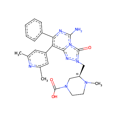 Cc1cc(-c2c(-c3ccccc3)nc(N)n3c(=O)n(C[C@@H]4CN(C(=O)O)CCN4C)nc23)cc(C)n1